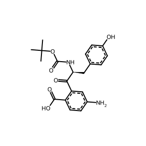 CC(C)(C)OC(=O)N[C@@H](Cc1ccc(O)cc1)C(=O)c1cc(N)ccc1C(=O)O